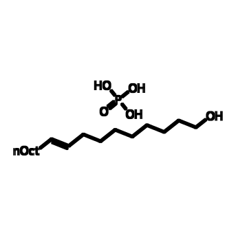 CCCCCCCC/C=C/CCCCCCCCO.O=P(O)(O)O